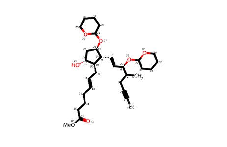 CCC#CCC(C)[C@@H](C=C[C@@H]1[C@@H](CC=CCCCC(=O)OC)[C@H](O)C[C@H]1OC1CCCCO1)OC1CCCCO1